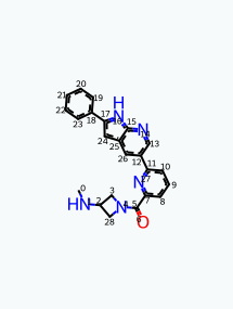 CNC1CN(C(=O)c2cccc(-c3cnc4[nH]c(-c5ccccc5)cc4c3)n2)C1